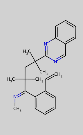 C=Cc1ccccc1/C(=N\C)C(C)(C)CC(C)(C)c1ncc2ccccc2n1